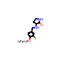 CCCCCOc1ccc(CNC2CCNC2=O)cc1F